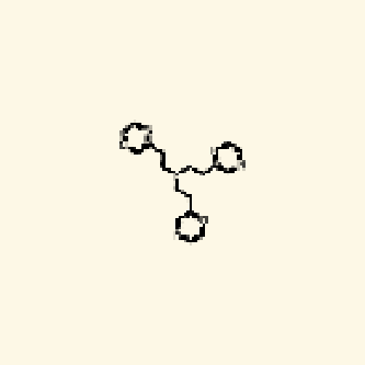 c1cnc(CCN(CCc2cnccn2)CCc2cnccn2)cn1